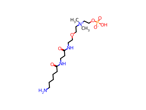 C[N+](C)(CCOCCNC(=O)CCNC(=O)CCCCCN)CCOP(=O)([O-])O